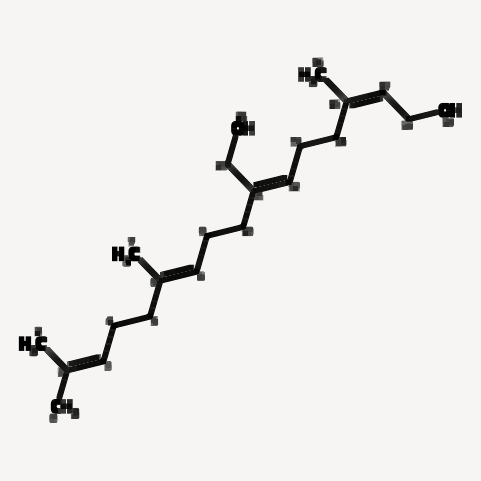 CC(C)=CCC/C(C)=C/CC/C(=C/CC/C(C)=C\CO)CO